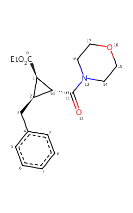 CCOC(=O)[C@@H]1[C@H](Cc2ccccc2)[C@H]1C(=O)N1CCOCC1